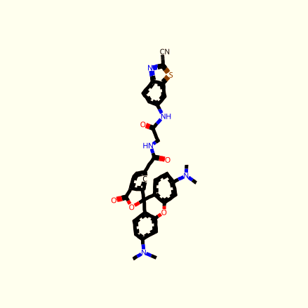 CN(C)c1ccc2c(c1)Oc1cc(N(C)C)ccc1C21OC(=O)c2ccc(C(=O)NCC(=O)Nc3ccc4nc(C#N)sc4c3)cc21